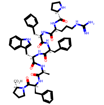 C[C@H](NC(=O)[C@H](Cc1c[nH]c2ccccc12)NC(=O)[C@H](Cc1ccccc1)NC(=O)[C@H](Cc1ccccc1)NC(=O)[C@H](CCCNC(=N)N)NC(=O)[C@@H]1CCCN1)C(=O)N[C@@H](Cc1ccccc1)C(=O)N1CCC[C@@H]1C(=O)O